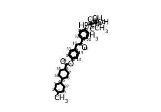 CC1CCC(C2CCC(C(=O)Oc3ccc(CC(=O)c4ccc(PC(C)(C)C(C)(C)O)cc4)cc3)CC2)CC1